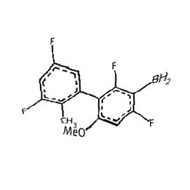 Bc1c(F)cc(OC)c(-c2cc(F)cc(F)c2C)c1F